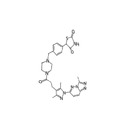 Cc1nn(-c2ccc3nnc(C)n3n2)c(C)c1CCC(=O)N1CCN(Cc2ccc(C3SC(=O)NC3=O)cc2)CC1